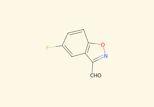 O=Cc1noc2ccc(F)cc12